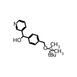 CC(C)(C)[Si](C)(C)OCc1ccc(C(O)c2cccnc2)cc1